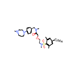 COc1cc(C)c(S(=O)(=O)N(C)CCOCC(=O)N(C)Cc2ccc(N3CCCN(C)CC3)cc2)c(C)c1